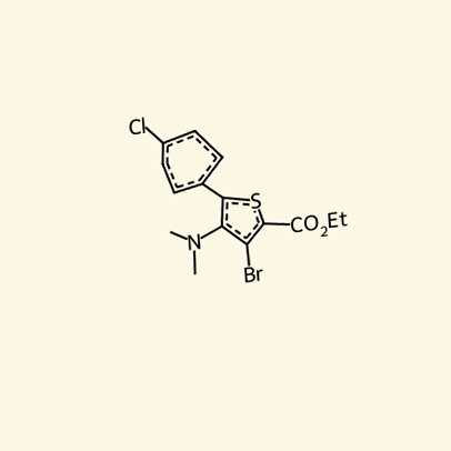 CCOC(=O)c1sc(-c2ccc(Cl)cc2)c(N(C)C)c1Br